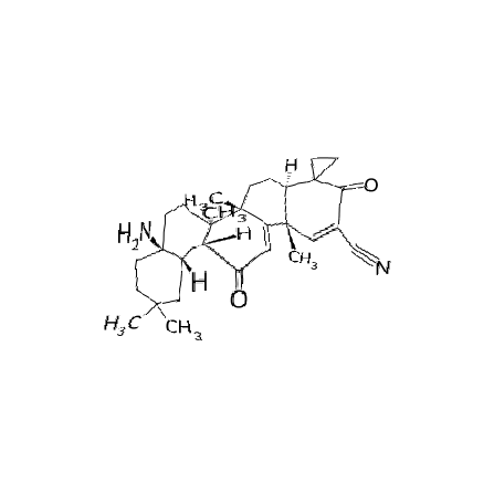 CC1(C)CC[C@]2(N)CC[C@]3(C)[C@H](C(=O)C=C4[C@@]5(C)C=C(C#N)C(=O)C6(CC6)[C@@H]5CC[C@]43C)[C@@H]2C1